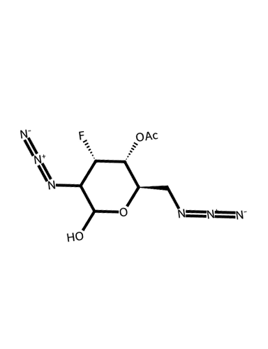 CC(=O)O[C@@H]1[C@@H](CN=[N+]=[N-])OC(O)C(N=[N+]=[N-])[C@@H]1F